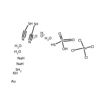 N#CS.N#CS.O.O.O.O.O.O=S(=O)(O)S.S.[Au].[Cl][Au]([Cl])([Cl])[Cl].[KH].[NaH].[NaH]